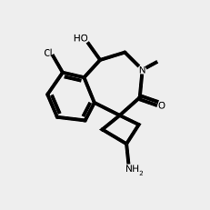 CN1CC(O)c2c(Cl)cccc2C2(CC(N)C2)C1=O